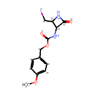 COc1ccc(COC(=O)NC2C(=O)NC2CI)cc1